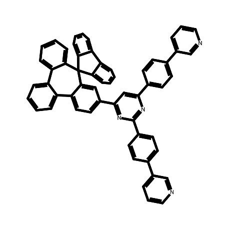 c1cncc(-c2ccc(-c3cc(-c4ccc5c(c4)C4(c6ccccc6-c6ccccc6-5)c5ccccc5-c5ccccc54)nc(-c4ccc(-c5cccnc5)cc4)n3)cc2)c1